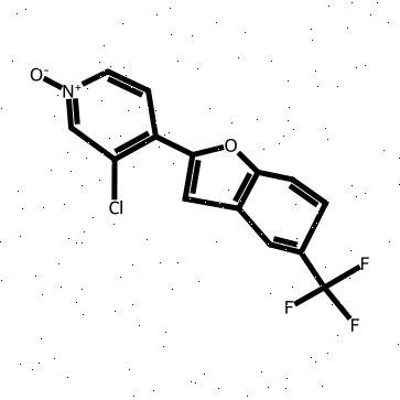 [O-][n+]1ccc(-c2cc3cc(C(F)(F)F)ccc3o2)c(Cl)c1